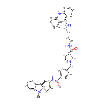 CCn1c2ccccc2c2cc(NC(=O)c3ccc(CN4CCC(C(=O)NCCCCNc5c6c(nc7ccccc57)CCCC6)C4)cc3)ccc21